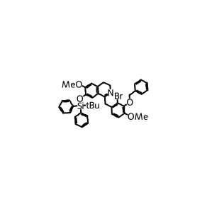 COc1cc2c(cc1O[Si](c1ccccc1)(c1ccccc1)C(C)(C)C)C(Cc1ccc(OC)c(OCc3ccccc3)c1Br)=NCC2